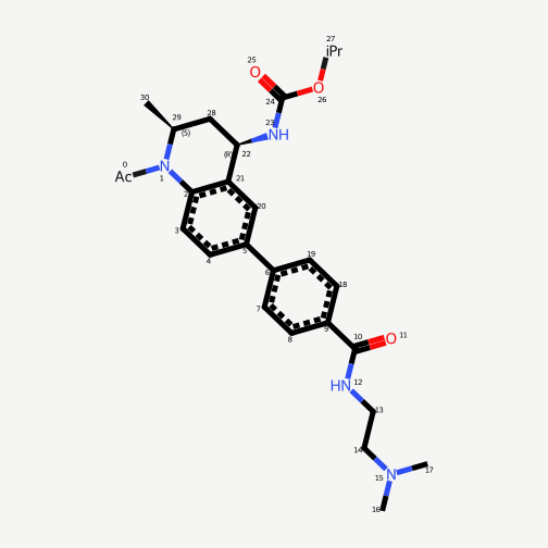 CC(=O)N1c2ccc(-c3ccc(C(=O)NCCN(C)C)cc3)cc2[C@H](NC(=O)OC(C)C)C[C@@H]1C